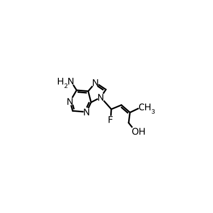 C/C(=C/C(F)n1cnc2c(N)ncnc21)CO